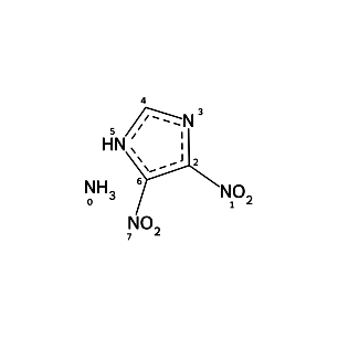 N.O=[N+]([O-])c1nc[nH]c1[N+](=O)[O-]